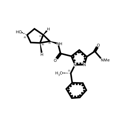 CNC(=O)c1cc(C(=O)N[C@H]2[C@@H]3C[C@H](O)C[C@@H]32)n([C@@H](C)c2ccccc2)n1